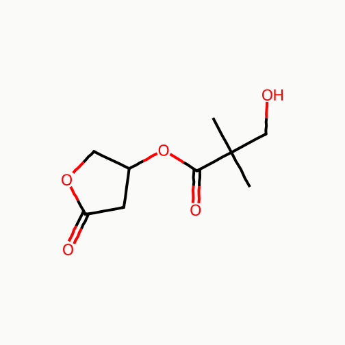 CC(C)(CO)C(=O)OC1COC(=O)C1